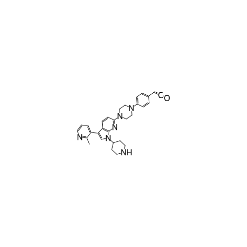 Cc1ncccc1-c1cn(C2CCNCC2)c2nc(N3CCN(c4ccc(C=C=O)cc4)CC3)ccc12